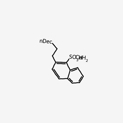 CCCCCCCCCCCCc1ccc2ccccc2c1S(=O)(=O)O.[CaH2]